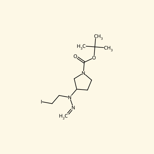 C=NN(CCI)C1CCN(C(=O)OC(C)(C)C)C1